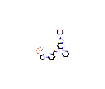 CCOP(=O)(OCC)O[C@H]1CCN(c2cccc(C(=O)Nc3cc4sc(N5CCOCC5)nc4nc3N3CCCCC3)n2)C1